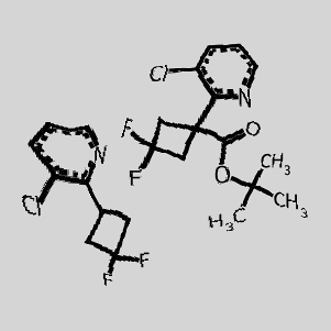 CC(C)(C)OC(=O)C1(c2ncccc2Cl)CC(F)(F)C1.FC1(F)CC(c2ncccc2Cl)C1